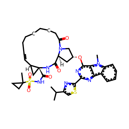 CC(C)c1csc(-c2nc(O[C@@H]3C[C@H]4C(=O)N[C@]5(C(=O)NS(=O)(=O)C6(C)CC6)C[C@H]5/C=C\CCCCCCC(=O)N4C3)c3c(n2)c2ccccc2n3C)n1